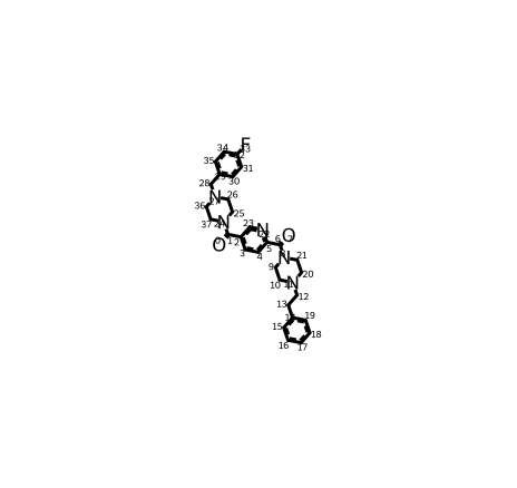 O=C(c1ccc(C(=O)N2CCN(CCc3ccccc3)CC2)nc1)N1CCN(Cc2ccc(F)cc2)CC1